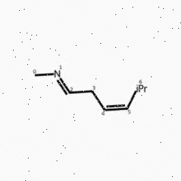 C/N=C/C/C=C\C(C)C